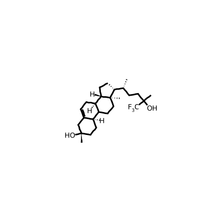 C[C@H](CCC(C)(O)C(F)(F)F)[C@H]1CC[C@H]2[C@@H]3CC=C4C[C@@](C)(O)CC[C@@H]4C3CC[C@]12C